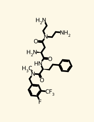 CN(Cc1ccc(F)c(C(F)(F)F)c1)C(=O)[C@H](CCc1ccccc1)NC(=O)[C@@H](N)CC(=O)N(CCN)CCN